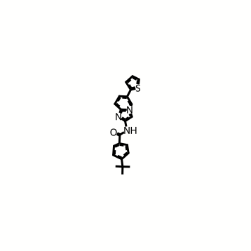 CC(C)(C)c1ccc(C(=O)Nc2cn3cc(-c4cccs4)ccc3n2)cc1